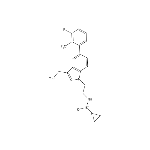 CC(C)(C)Cc1cn(CCN[S+]([O-])N2CC2)c2ccc(-c3cccc(F)c3C(F)(F)F)cc12